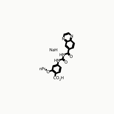 CCCOc1cc(NC(=O)NC(=O)c2ccc3nccnc3c2)ccc1C(=O)O.[NaH]